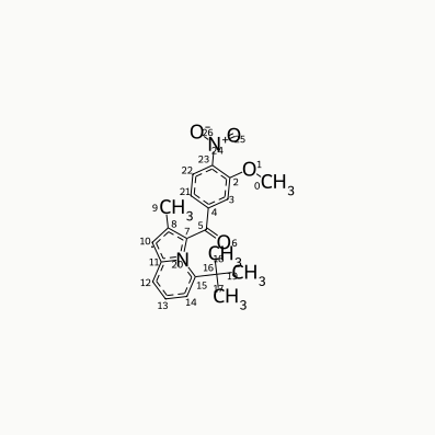 COc1cc(C(=O)c2c(C)[c]c3cccc(C(C)(C)C)n23)ccc1[N+](=O)[O-]